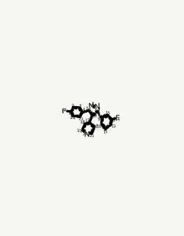 Fc1ccc(-c2nnn(-c3cccc(F)c3)c2-c2ccncc2)cc1